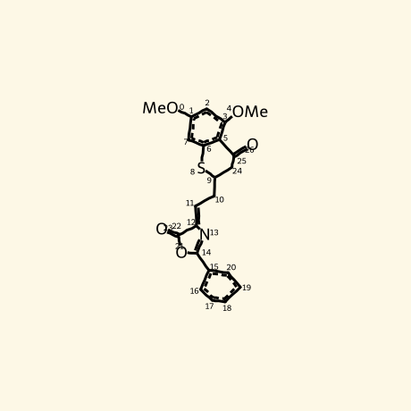 COc1cc(OC)c2c(c1)SC(CC=C1N=C(c3ccccc3)OC1=O)CC2=O